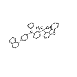 CC1(C)c2cc(N(c3ccccc3)c3ccc(-c4cccc5ccccc45)cc3)ccc2-c2ccc3oc4ccccc4c3c21